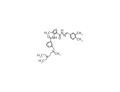 CCN(CC)CCN(C)Cc1cccc(C(=O)Nc2c(C)csc2C(=O)NN=Cc2ccc(C)c(C)c2)c1